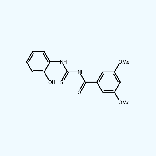 COc1cc(OC)cc(C(=O)NC(=S)Nc2ccccc2O)c1